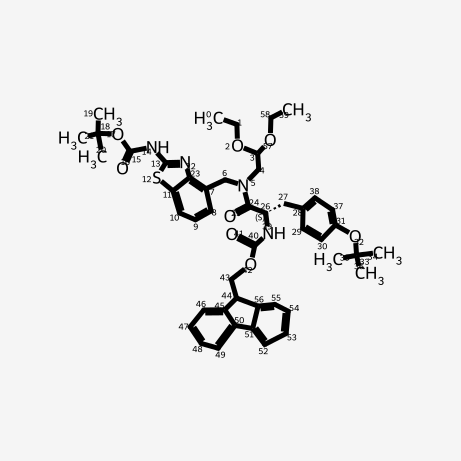 CCOC(CN(Cc1cccc2sc(NC(=O)OC(C)(C)C)nc12)C(=O)[C@H](Cc1ccc(OC(C)(C)C)cc1)NC(=O)OCC1c2ccccc2-c2ccccc21)OCC